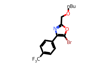 CCCCOCc1nc(-c2ccc(C(F)(F)F)cc2)c(Br)o1